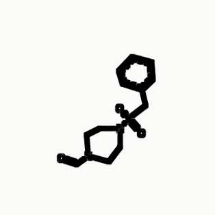 O=CN1CCN(S(=O)(=O)Cc2ccccc2)CC1